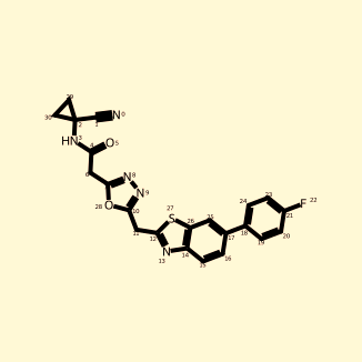 N#CC1(NC(=O)Cc2nnc(Cc3nc4ccc(-c5ccc(F)cc5)cc4s3)o2)CC1